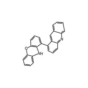 c1ccc2c(c1)Nc1c(cccc1-c1cccc3nc4ccccc4cc13)O2